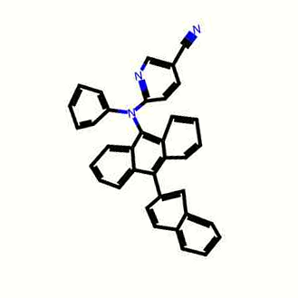 N#Cc1ccc(N(c2ccccc2)c2c3ccccc3c(-c3ccc4ccccc4c3)c3ccccc23)nc1